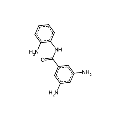 Nc1cc(N)cc(C(=O)Nc2ccccc2N)c1